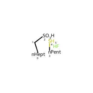 CCCCCCCCS(=O)(=O)O.CCCCCS.F